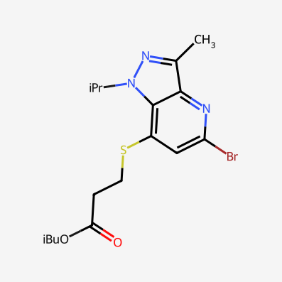 Cc1nn(C(C)C)c2c(SCCC(=O)OCC(C)C)cc(Br)nc12